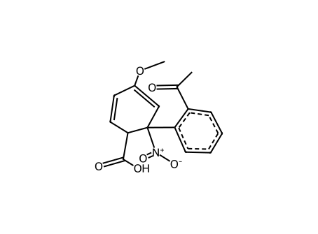 COC1=CC(c2ccccc2C(C)=O)([N+](=O)[O-])C(C(=O)O)C=C1